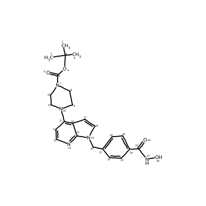 CC(C)(C)OC(=O)N1CCN(c2ccnc3c2ccn3Cc2ccc(C(=O)NO)cc2)CC1